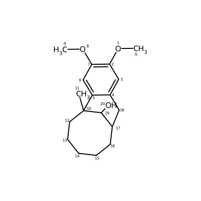 COc1cc2c(cc1OC)C1(C)CCCCCC(C2)C1O